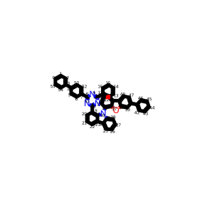 c1ccc(-c2ccc(-c3nc(-c4ccccc4)nc(-c4cccc5c6ccccc6n(-c6cccc7c6oc6cc(-c8ccccc8)ccc67)c45)n3)cc2)cc1